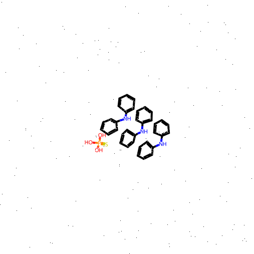 OP(O)(O)=S.c1ccc(Nc2ccccc2)cc1.c1ccc(Nc2ccccc2)cc1.c1ccc(Nc2ccccc2)cc1